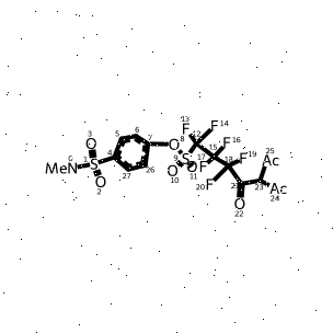 CNS(=O)(=O)c1ccc(OS(=O)(=O)C(F)(F)C(F)(F)C(F)(F)C(=O)C(C(C)=O)C(C)=O)cc1